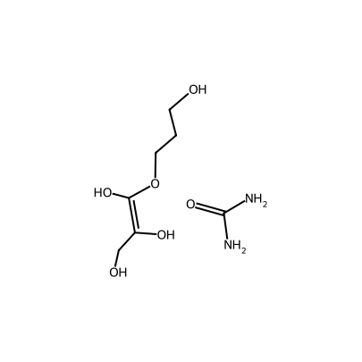 NC(N)=O.OCCCOC(O)=C(O)CO